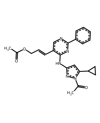 CC(=O)OCC=Cc1cnc(-c2ccccc2)nc1Nc1cc(C2CC2)n(C(C)=O)n1